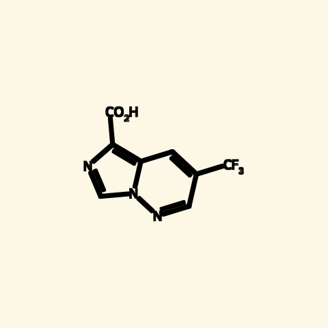 O=C(O)c1ncn2ncc(C(F)(F)F)cc12